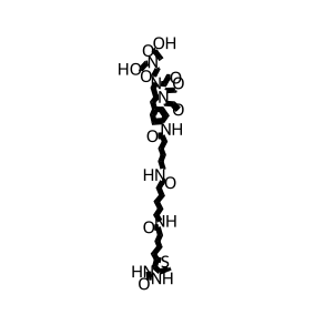 O=CCN(CCN(CC(=O)O)CC(=O)O)CC(Cc1ccc(NC(=O)CCCCCNC(=O)CCCCCNC(=O)CCCCC2SCC3NC(=O)NC32)cc1)N(CC=O)CC=O